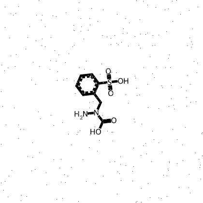 NN(Cc1ccccc1S(=O)(=O)O)C(=O)O